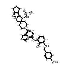 COc1ccc(CNc2nccc(Sc3cnc(N4CCC5(CC4)Cn4nc6c(c4[C@H]5N[S+]([O-])C(C)(C)C)CCC6)c4cncn34)c2Cl)cc1